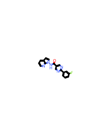 O=C(Nn1ccc2cccnc21)c1cnc(-c2cccc(F)c2)nc1